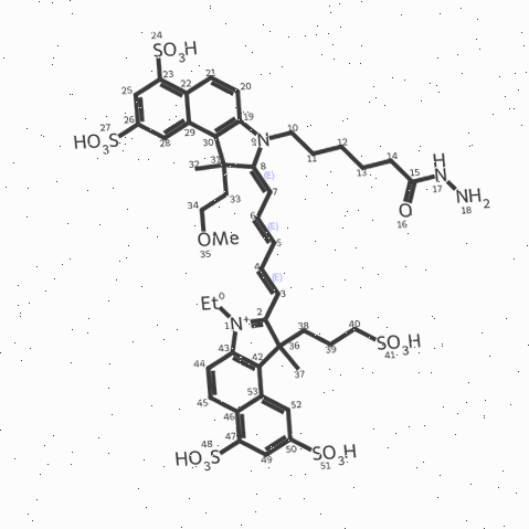 CC[N+]1=C(/C=C/C=C/C=C2/N(CCCCCC(=O)NN)c3ccc4c(S(=O)(=O)O)cc(S(=O)(=O)O)cc4c3C2(C)CCOC)C(C)(CCCS(=O)(=O)O)c2c1ccc1c(S(=O)(=O)O)cc(S(=O)(=O)O)cc21